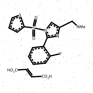 CNCc1cn(S(=O)(=O)c2cccs2)c(-c2ccccc2F)n1.O=C(O)/C=C/C(=O)O